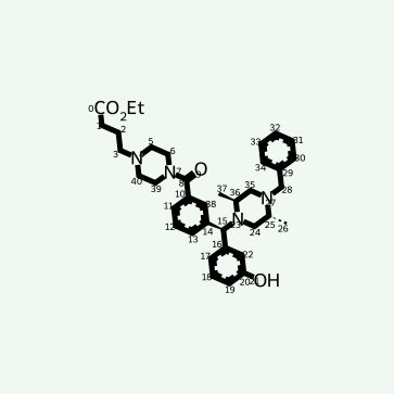 CCOC(=O)CCCN1CCN(C(=O)c2cccc([C@H](c3cccc(O)c3)N3C[C@@H](C)N(Cc4ccccc4)C[C@@H]3C)c2)CC1